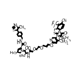 Cc1cc(OCCCOCCOCC(=O)N[C@H](C(=O)N2C[C@H](O)C[C@H]2C(=O)NCc2ccc(-c3scnc3C)cc2)C(C)(C)C)ncc1N1C(=S)N(c2ccc(C#N)c(C(F)(F)F)c2F)C(=O)C1(C)C